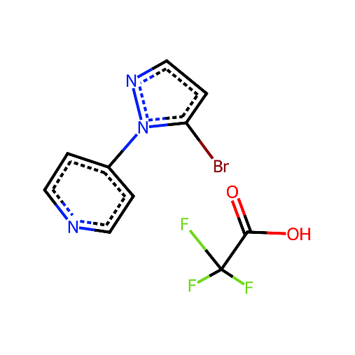 Brc1ccnn1-c1ccncc1.O=C(O)C(F)(F)F